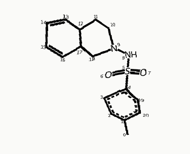 Cc1ccc(S(=O)(=O)NN2CCC3C=CC=CC3C2)cc1